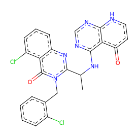 CC(Nc1ncnc2[nH]ccc(=O)c12)c1nc2cccc(Cl)c2c(=O)n1Cc1ccccc1Cl